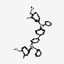 COCc1ccc(N(c2ccccc2)c2ccc(-c3ccc(N(c4ccccc4)c4ccc(COC)c(C)c4)cc3)cc2)cc1C